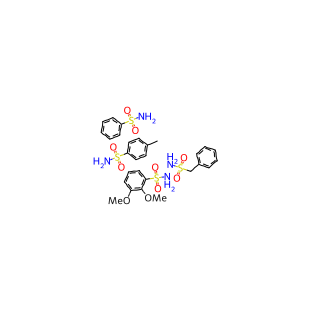 COc1cccc(S(N)(=O)=O)c1OC.Cc1ccc(S(N)(=O)=O)cc1.NS(=O)(=O)Cc1ccccc1.NS(=O)(=O)c1ccccc1